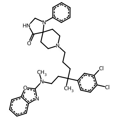 CN(CCC(C)(CCCN1CCC2(CC1)C(=O)NCN2c1ccccc1)c1ccc(Cl)c(Cl)c1)c1nc2ccccc2o1